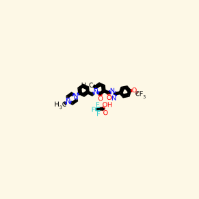 Cc1ccc(-c2nc(-c3ccc(OC(F)(F)F)cc3)no2)c(=O)n1Cc1cccc(N2CCN(C)CC2)c1.O=C(O)C(F)(F)F